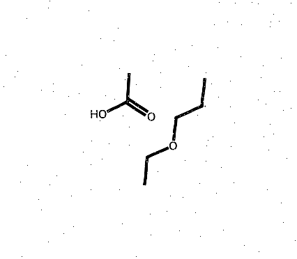 CC(=O)O.C[CH]COCC